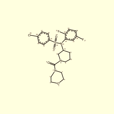 O=C(N1CCOCC1)N1CCCC(N(c2cc(F)ccc2F)S(=O)(=O)c2ccc(Cl)cc2)C1